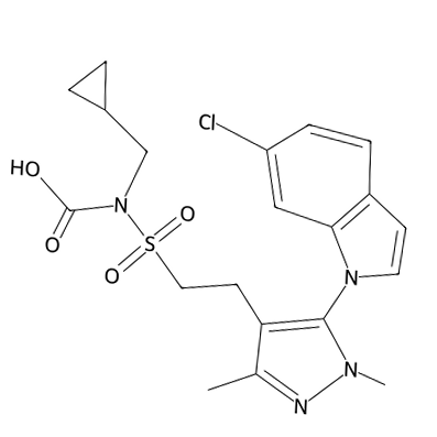 Cc1nn(C)c(-n2ccc3ccc(Cl)cc32)c1CCS(=O)(=O)N(CC1CC1)C(=O)O